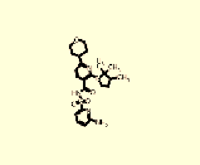 CC1CCN(c2nc(C3CCOCC3)ccc2C(=O)NS(=O)(=O)c2cccc(N)n2)C1(C)C